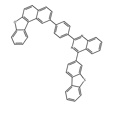 c1ccc2c(-c3ccc4c(c3)sc3ccccc34)nc(-c3ccc(-c4ccc5ccc6oc7ccccc7c6c5c4)cc3)nc2c1